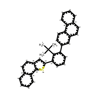 CC(C)(C)c1c(-c2ccc3c(ccc4ccccc43)c2)cccc1-c1cc2ccc3ccccc3c2s1